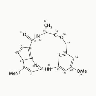 CNc1cc2nc3c(cnn13)C(=O)N[C@H](C)COCc1cc(cc(OC)c1)N2